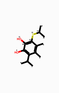 Cc1c(C)c(C(C)C)c(O)c(O)c1SC(C)C